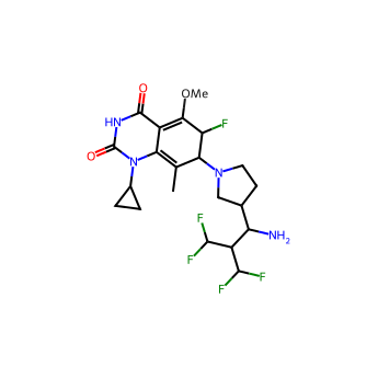 COC1=c2c(=O)[nH]c(=O)n(C3CC3)c2=C(C)C(N2CCC(C(N)C(C(F)F)C(F)F)C2)C1F